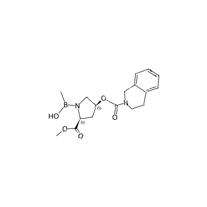 COC(=O)[C@@H]1C[C@H](OC(=O)N2CCc3ccccc3C2)CN1B(C)O